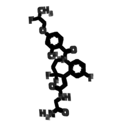 C[C@H](F)COc1ccc(C(=O)N2CCC(F)(F)C(=CC(=O)NCC(N)=O)c3cc(F)ccc32)c(C(F)(F)F)c1